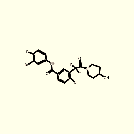 O=C(Nc1ccc(F)c(Br)c1)c1ccc(Cl)c(C(F)(F)C(=O)N2CCC(O)CC2)c1